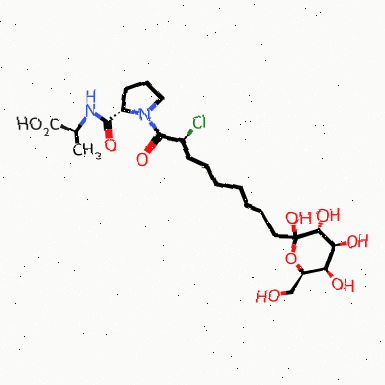 C[C@H](NC(=O)[C@@H]1CCCN1C(=O)[C@@H](Cl)CCCCCCCC1(O)O[C@H](CO)[C@H](O)[C@H](O)[C@H]1O)C(=O)O